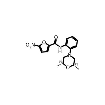 C[C@@H]1CN(c2ccccc2NC(=O)c2ccc([N+](=O)[O-])o2)C[C@H](C)O1